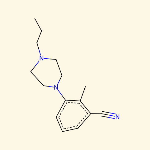 CCCN1CCN(c2cccc(C#N)c2C)CC1